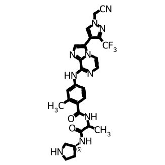 Cc1cc(Nc2nccn3c(-c4cn(CC#N)nc4C(F)(F)F)cnc23)ccc1C(=O)NC(C)C(=O)N[C@H]1CCNC1